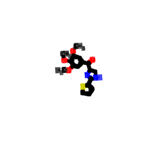 COc1cc(C(=O)C2CNC(c3cccs3)=N2)cc(OC)c1OC